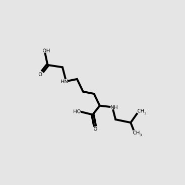 CC(C)CNC(CCCNCC(=O)O)C(=O)O